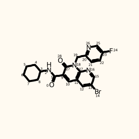 O=C(NC1CCCCC1)c1cc2cc(Br)cnc2n(Cc2ccc(F)cn2)c1=O